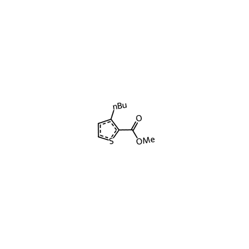 CCCCc1ccsc1C(=O)OC